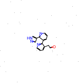 O=CCc1cccnc1-c1cccnc1-c1cn[nH]c1